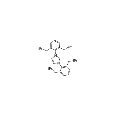 CC(C)Cc1cccc(CC(C)C)c1N1C=CN(c2c(CC(C)C)cccc2CC(C)C)C1